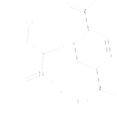 O=C(O)c1ccc(C(=O)O)cc1.O=[N+]([O-])C(O)CO